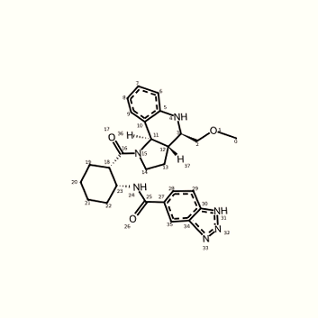 COC[C@@H]1Nc2ccccc2[C@H]2[C@H]1CCN2C(=O)[C@H]1CCCC[C@H]1NC(=O)c1ccc2[nH]nnc2c1